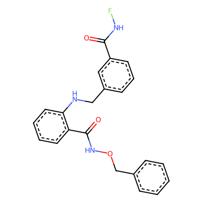 O=C(NF)c1cccc(CNc2ccccc2C(=O)NOCc2ccccc2)c1